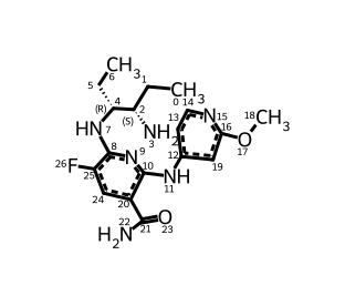 CC[C@H](N)[C@@H](CC)Nc1nc(Nc2ccnc(OC)c2)c(C(N)=O)cc1F